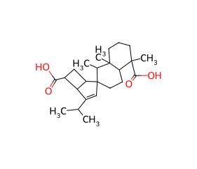 CC(C)C1=CC2(CCC3C(C)(C(=O)O)CCCC3(C)C2C)C2CC(C(=O)O)C12